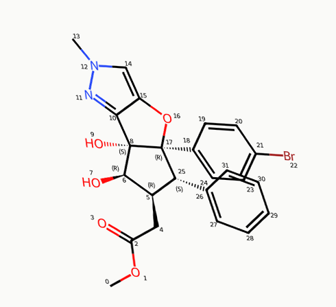 COC(=O)C[C@H]1[C@@H](O)[C@@]2(O)c3nn(C)cc3O[C@@]2(c2ccc(Br)cc2)[C@@H]1c1ccccc1